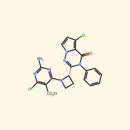 CCOC(=O)c1c(Cl)nc(N)nc1N1CC[C@H]1c1nn2ccc(Cl)c2c(=O)n1-c1ccccc1